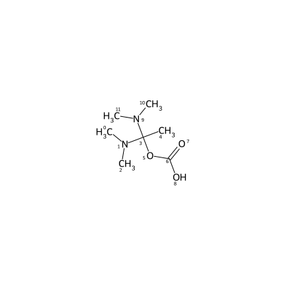 CN(C)C(C)(OC(=O)O)N(C)C